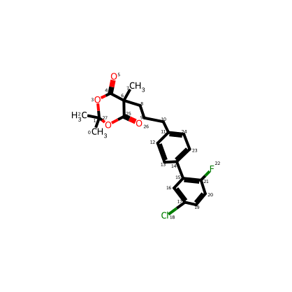 CC1(C)OC(=O)C(C)(CCCc2ccc(-c3cc(Cl)ccc3F)cc2)C(=O)O1